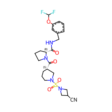 N#CC1CN(S(=O)(=O)N2CCC[C@H](C(=O)N3CCC[C@@H]3C(=O)NCc3cccc(OC(F)F)c3)C2)C1